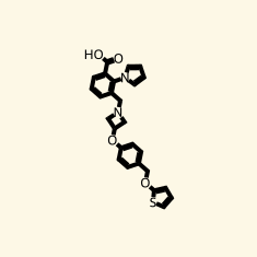 O=C(O)c1cccc(CN2CC(Oc3ccc(COc4cccs4)cc3)C2)c1-n1cccc1